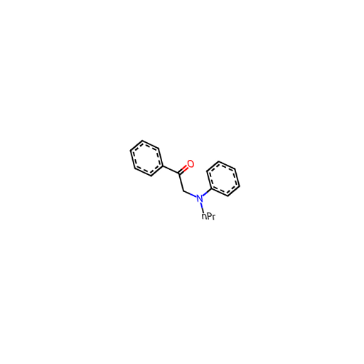 CCCN(CC(=O)c1ccccc1)c1ccccc1